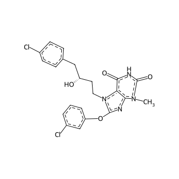 Cn1c(=O)[nH]c(=O)c2c1nc(Oc1cccc(Cl)c1)n2CC[C@H](O)Cc1ccc(Cl)cc1